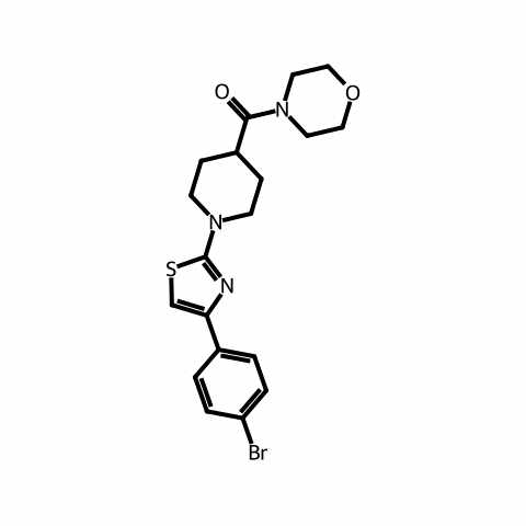 O=C(C1CCN(c2nc(-c3ccc(Br)cc3)cs2)CC1)N1CCOCC1